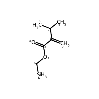 C=C(C(=O)OC[SiH3])C(C)C